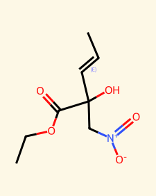 C/C=C/C(O)(C[N+](=O)[O-])C(=O)OCC